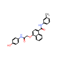 Cc1cccc(NC(=O)c2ccc(OCC(=O)Nc3ccc(O)cc3)c3ccccc23)c1